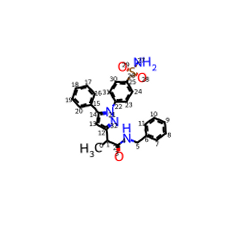 CC(C(=O)NCc1ccccc1)c1cc(-c2ccccc2)n(-c2ccc(S(N)(=O)=O)cc2)n1